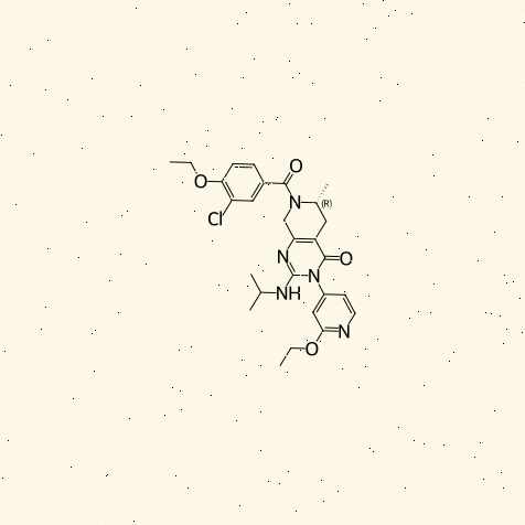 CCOc1cc(-n2c(NC(C)C)nc3c(c2=O)C[C@@H](C)N(C(=O)c2ccc(OCC)c(Cl)c2)C3)ccn1